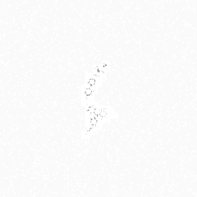 CCc1ccc(N(c2ccc(CCCc3ccc(-c4ccc(COC(=O)CC#N)cc4)cc3)cc2)c2ccc(COC)cc2)cc1